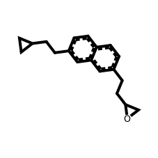 c1cc2ccc(CCC3CO3)cc2cc1CCC1CC1